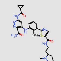 COc1c(Nc2cc(NC(=O)C3CC3)nnc2C(N)=O)cccc1-c1ncc(C(=O)NCCC2CCCN2C)s1